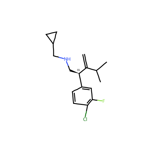 C=C(C(C)C)[C@H](CNCC1CC1)c1ccc(Cl)c(F)c1